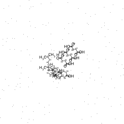 CC(C)CCC[C@@H](C)[C@H]1CC[C@H]2[C@@H]3CC=C4C[C@@H](O)CC[C@]4(C)[C@H]3CC[C@]12C.O=C(O)CCC(=O)O.O=C(O)CCC(=O)O.O=C(O)CCC(=O)O